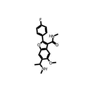 CNC(=O)c1c(-c2ccc(F)cc2)oc2cc(C(C)NC)c(OC)cc12